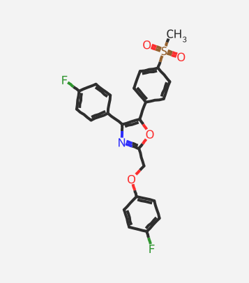 CS(=O)(=O)c1ccc(-c2oc(COc3ccc(F)cc3)nc2-c2ccc(F)cc2)cc1